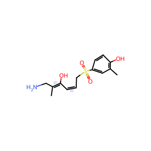 C/C(CN)=C(O)\C=C/CS(=O)(=O)c1ccc(O)c(C)c1